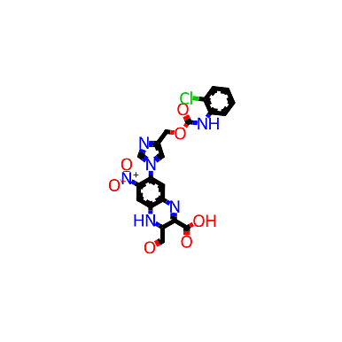 O=CC1Nc2cc([N+](=O)[O-])c(-n3cnc(COC(=O)Nc4ccccc4Cl)c3)cc2N=C1C(=O)O